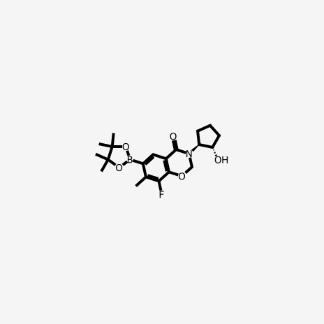 Cc1c(B2OC(C)(C)C(C)(C)O2)cc2c(c1F)OCN([C@H]1CCC[C@@H]1O)C2=O